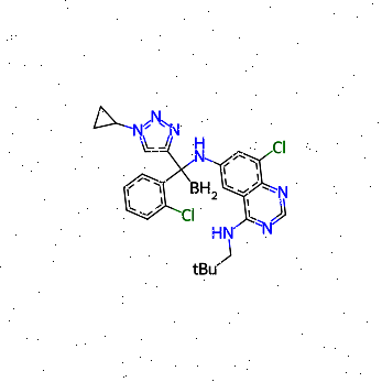 BC(Nc1cc(Cl)c2ncnc(NCC(C)(C)C)c2c1)(c1cn(C2CC2)nn1)c1ccccc1Cl